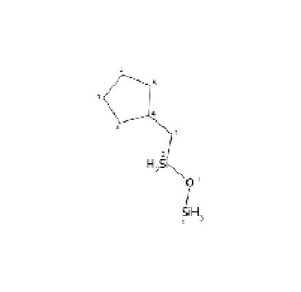 [SiH3]O[SiH2]CC1CCCC1